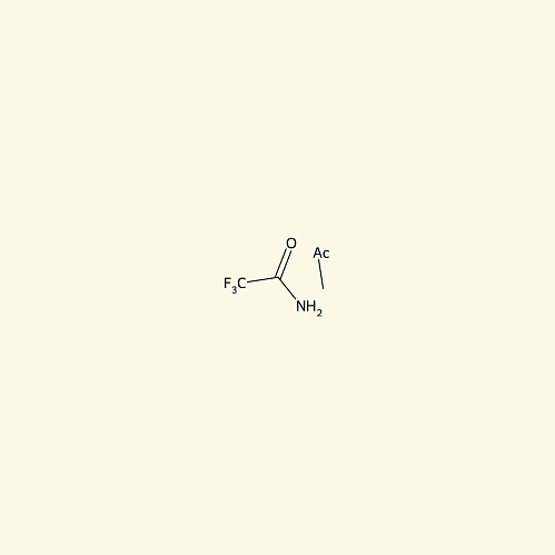 CC(C)=O.NC(=O)C(F)(F)F